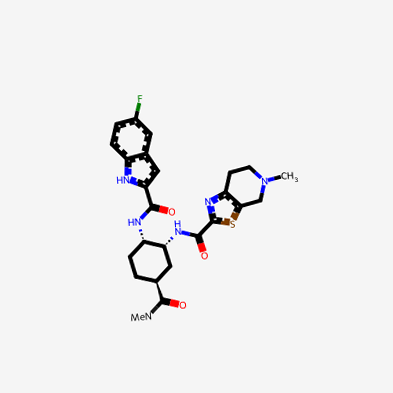 CNC(=O)[C@H]1CC[C@H](NC(=O)c2cc3cc(F)ccc3[nH]2)[C@H](NC(=O)c2nc3c(s2)CN(C)CC3)C1